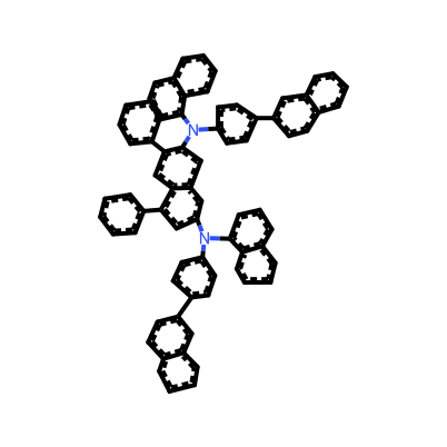 c1ccc(-c2cc3c(-c4ccccc4)cc(N(c4ccc(-c5ccc6ccccc6c5)cc4)c4cccc5ccccc45)cc3cc2N(c2ccc(-c3ccc4ccccc4c3)cc2)c2cccc3ccccc23)cc1